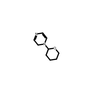 C1=CN(C2CCCCO2)CC=N1